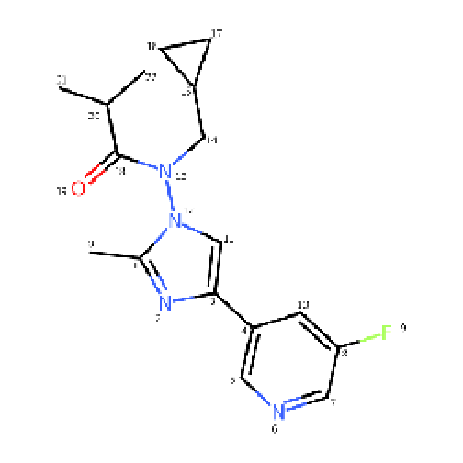 Cc1nc(-c2cncc(F)c2)cn1N(CC1CC1)C(=O)C(C)C